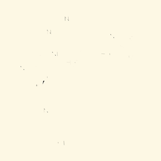 Cc1cc(N=S(C)(C)=O)cc2ncnc(Nc3cccnc3O[C@@H]3CCCN(CCO)C3)c12